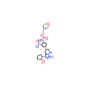 COc1ccccc1-c1n[nH]c2ncc(-c3ccc(NC(=O)OCCN4CCOCC4)c(C(=O)N(C)C)c3)cc12